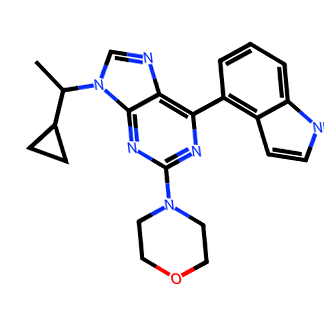 CC(C1CC1)n1cnc2c(-c3cccc4[nH]ccc34)nc(N3CCOCC3)nc21